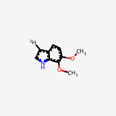 [2H]c1c[nH]c2c(OC)c(OC)ccc12